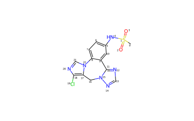 CS(=O)(=O)Nc1ccc2c(c1)-c1ncnn1Cc1c(Cl)ncn1-2